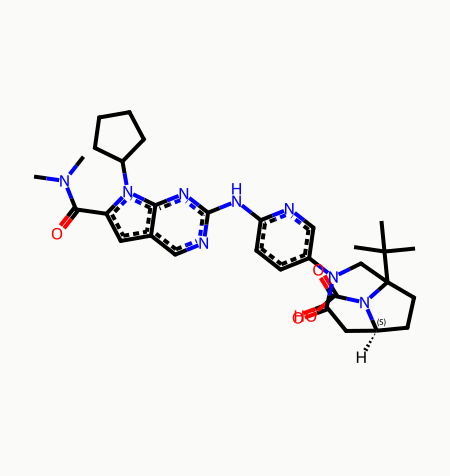 CN(C)C(=O)c1cc2cnc(Nc3ccc(N4CC5(C(C)(C)C)CC[C@@H](CC4=O)N5C(=O)O)cn3)nc2n1C1CCCC1